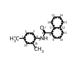 Cc1ccc(NC(=O)c2cccc3ccccc23)c(C)c1